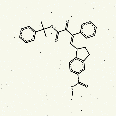 COC(=O)c1ccc2c(c1)CCN2/C=C(/C(=O)C(=O)OC(C)(C)c1ccccc1)c1ccccc1